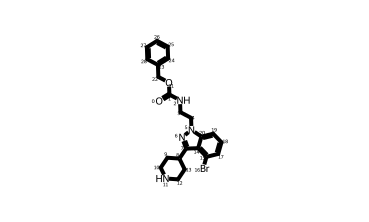 O=C(NCCn1nc(C2CCNCC2)c2c(Br)cccc21)OCc1ccccc1